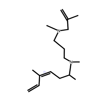 C=C/C(C)=C\CC(C)N(C)CCCN(C)CC(=C)C